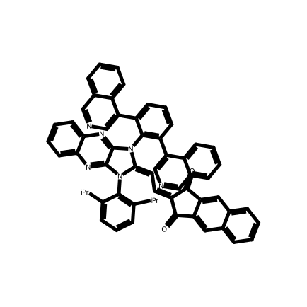 CC(C)c1cccc(C(C)C)c1N1/C(=C\C=C2C(=O)c3cc4ccccc4cc3C2=O)N(c2c(-c3cncc4ccccc34)cccc2-c2cncc3ccccc23)c2nc3ccccc3nc21